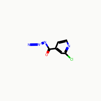 [N-]=[N+]=NC(=O)c1ccnc(Cl)c1